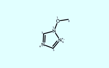 CON1C=NC=[N+]1